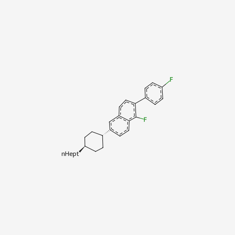 CCCCCCC[C@H]1CC[C@H](c2ccc3c(F)c(-c4ccc(F)cc4)ccc3c2)CC1